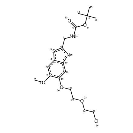 COc1cc2sc(CNC(=O)OC(C)(C)C)nc2cc1OCCOCCCl